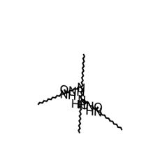 CCCCCCCCCCCCCCN(CCCCN(CCCCCCCCCCCCCC)CC(O)CNCCC(=O)NCCCCCCCCCCCC)CCCNCCC(=O)NCCCCCCCCCCCC